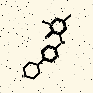 Cn1nc(I)cc(Nc2ccc(N3CCNCC3)cn2)c1=O